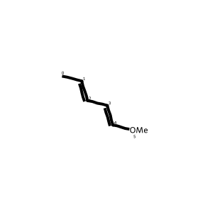 CC=CC=COC